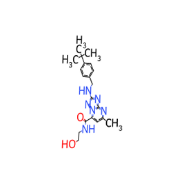 Cc1cc(C(=O)NCCO)n2nc(NCc3ccc(C(C)(C)C)cc3)nc2n1